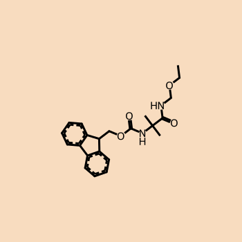 CCOCNC(=O)C(C)(C)NC(=O)OCC1c2ccccc2-c2ccccc21